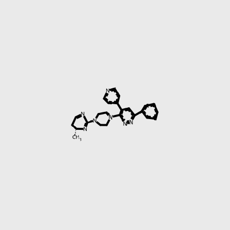 C[C@@H]1CC=NC(N2CCN(c3nnc(-c4ccccc4)cc3-c3ccncc3)CC2)=N1